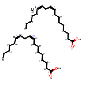 CCCCC/C=C\C/C=C\CCCCCCCC(=O)[O-].CCCCC/C=C\C/C=C\CCCCCCCC(=O)[O-].[Mn+2]